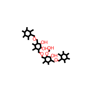 CC1C(C)C(C)C(COCC2C(C)C(C)C(COCC3C(C)C(C)C(COCC4C(C)C(C)C(C)C(C)C4C)C(O)C3OCO)C(O)C2O)C(C)C1C